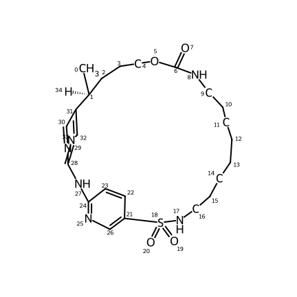 C[C@H]1CCCOC(=O)NCCCCCCCCNS(=O)(=O)c2ccc(nc2)Nc2ncc1cn2